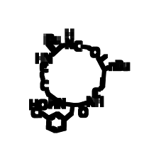 C=C1NCCCCC(CO)NC(Cc2cccc(Cl)c2)C(=O)NC/C=C\C(CCCC)C(C)OCCNC1[C@H](C)CC